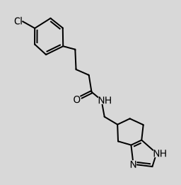 O=C(CCCc1ccc(Cl)cc1)NCC1CCc2[nH]cnc2C1